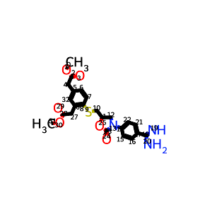 COC(=O)Cc1ccc(SCC2CN(c3ccc(C(=N)N)cc3)C(=O)O2)c(CC(=O)OC)c1